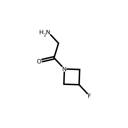 NCC(=O)N1CC(F)C1